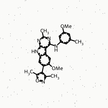 COc1cc(C)cc(Nc2nc(C)nc3[nH]c4cc(-c5c(C)noc5C)c(OC)cc4c23)c1